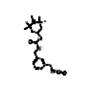 CN1C(C)(C)CC(OC(=O)NCc2cccc(CN=C=O)c2)CC1(C)C